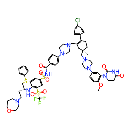 COc1ccc(N2CCN(C[C@]3(C)CCC(c4ccc(Cl)cc4)=C(CN4CCN(c5ccc(C(=O)NS(=O)(=O)c6ccc(N[C@H](CCN7CCCOCC7)CSc7ccccc7)c(S(=O)(=O)C(F)(F)F)c6)cc5)CC4)C3)CC2)cc1N1CCC(=O)NC1=O